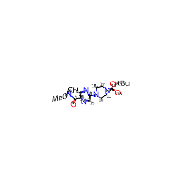 CON(C)C(=O)c1cnc(N2CCN(C(=O)OC(C)(C)C)CC2)cn1